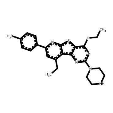 Bc1ccc(-c2cc(CC)c3c(n2)sc2c(OCC)nc(N4CCNCC4)nc23)cc1